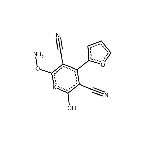 N#Cc1c(O)nc(ON)c(C#N)c1-c1ccco1